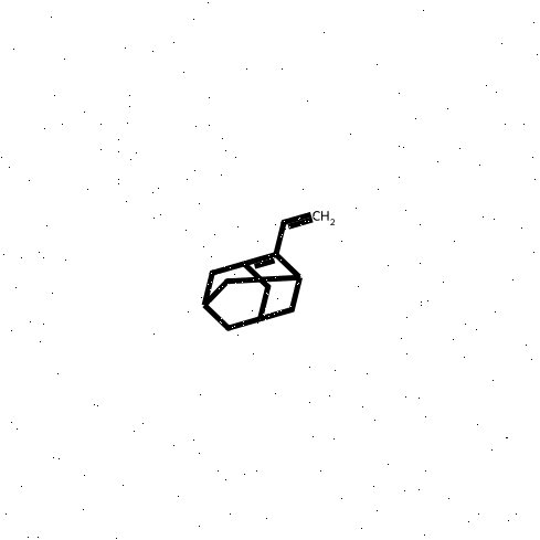 C=CC1=C2CC3CC(C2)CC1C3